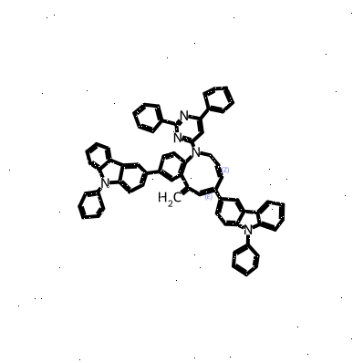 C=C1/C=C(c2ccc3c(c2)c2ccccc2n3-c2ccccc2)\C=C/CN(c2cc(-c3ccccc3)nc(-c3ccccc3)n2)c2ccc(-c3ccc4c(c3)c3ccccc3n4-c3ccccc3)cc21